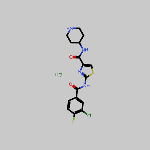 Cl.O=C(Nc1nc(C(=O)NC2CCNCC2)cs1)c1ccc(F)c(Cl)c1